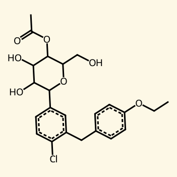 CCOc1ccc(Cc2cc(C3OC(CO)C(OC(C)=O)C(O)C3O)ccc2Cl)cc1